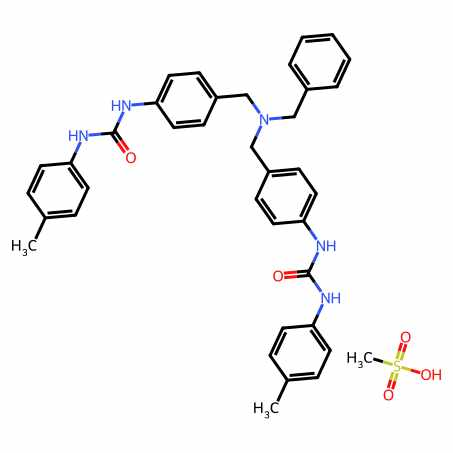 CS(=O)(=O)O.Cc1ccc(NC(=O)Nc2ccc(CN(Cc3ccccc3)Cc3ccc(NC(=O)Nc4ccc(C)cc4)cc3)cc2)cc1